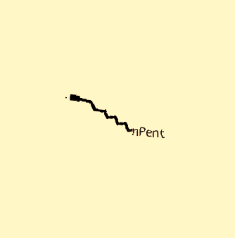 [C]#CCCCCCCCCCCCC[CH2]